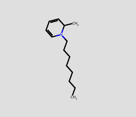 CCCCCCCCN1C=CC=CC1C